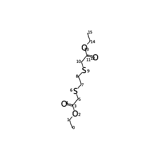 CCOC(=O)CSCCSCC(=O)OCC